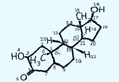 C[C@]12CC(O)C(=O)CC1CC[C@@H]1[C@H]2CC[C@]2(C)C(O)CC[C@@H]12